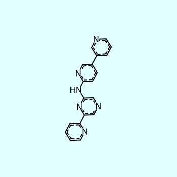 c1ccc(-c2cncc(Nc3ccc(-c4cccnc4)cn3)n2)nc1